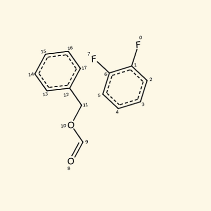 Fc1ccccc1F.O=COCc1ccccc1